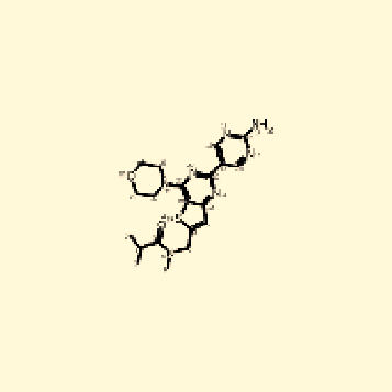 CC(C)C(=O)N(C)Cc1cc2nc(-c3cnc(N)nc3)nc(N3CCOCC3)c2s1